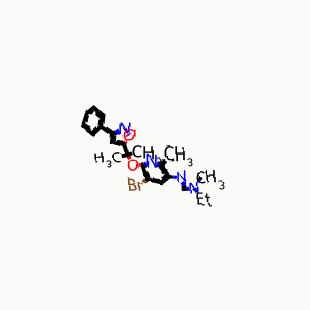 CCN(C)/C=N/c1cc(Br)c(OC(C)(C)c2cc(-c3ccccc3)no2)nc1C